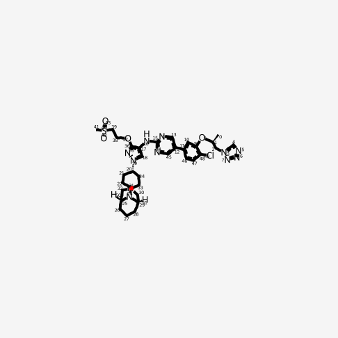 C[C@@H](Cn1cnnn1)Oc1cc(-c2cnc(Nc3cn([C@H]4CC[C@H](N5[C@@H]6CCC[C@H]5COC6)CC4)nc3OCCS(C)(=O)=O)nc2)ccc1Cl